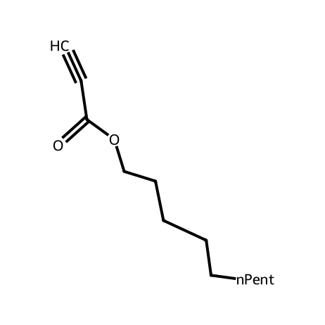 C#CC(=O)OCCCCCCCCCC